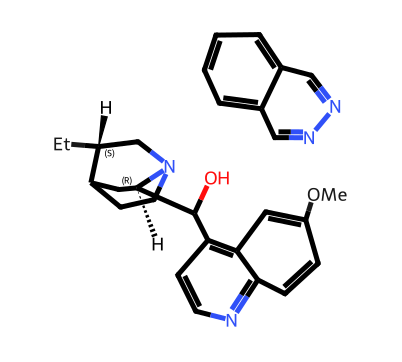 CC[C@@H]1CN2CCC1C[C@@H]2C(O)c1ccnc2ccc(OC)cc12.c1ccc2cnncc2c1